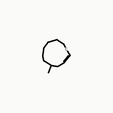 CC1C/C=C\CCCCCCC1